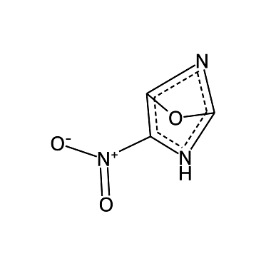 O=[N+]([O-])c1[nH]c2nc1O2